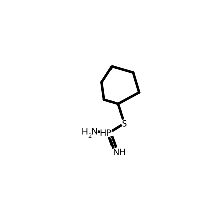 N=[PH](N)SC1CCCCC1